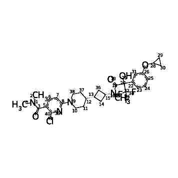 CN(C)C(=O)c1ccc(N2CCC([C@H]3C[C@@H](N(C)C(=O)C(O)(c4cccc(OC5CC5)c4)C(F)(F)F)C3)CC2)nc1Cl